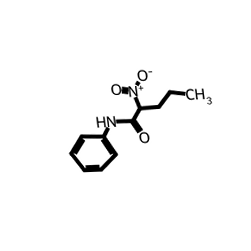 CCCC(C(=O)Nc1ccccc1)[N+](=O)[O-]